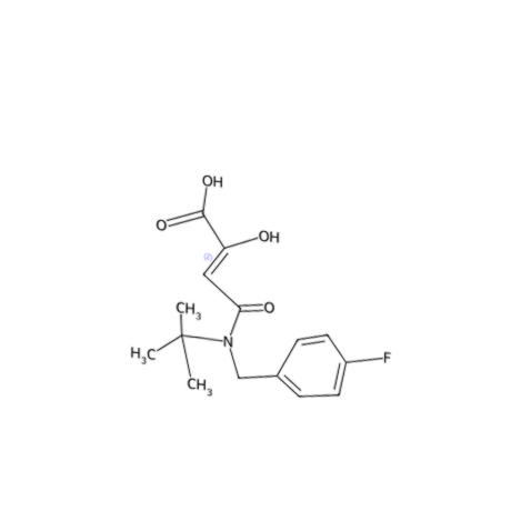 CC(C)(C)N(Cc1ccc(F)cc1)C(=O)/C=C(\O)C(=O)O